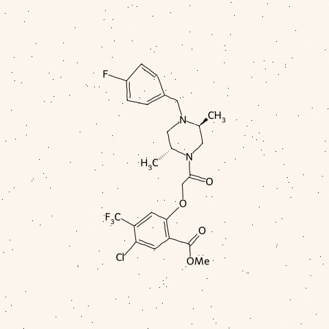 COC(=O)c1cc(Cl)c(C(F)(F)F)cc1OCC(=O)N1C[C@H](C)N(Cc2ccc(F)cc2)C[C@H]1C